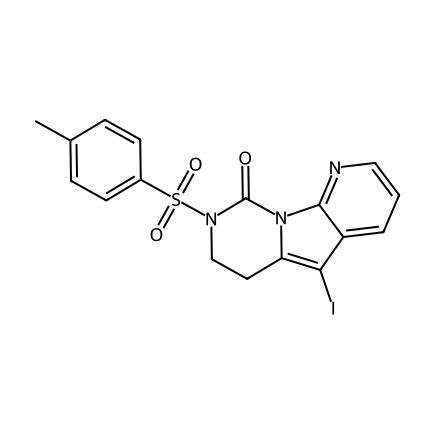 Cc1ccc(S(=O)(=O)N2CCc3c(I)c4cccnc4n3C2=O)cc1